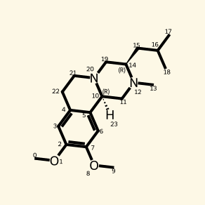 COc1cc2c(cc1OC)[C@@H]1CN(C)[C@H](CC(C)C)CN1CC2